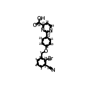 N#Cc1cccc(COc2ccc(-c3nccc(C(=O)O)n3)cc2)c1Br